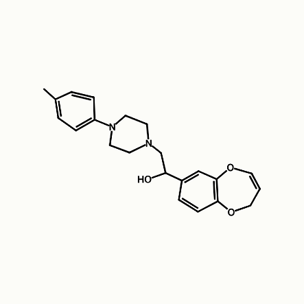 Cc1ccc(N2CCN(CC(O)c3ccc4c(c3)OC=CCO4)CC2)cc1